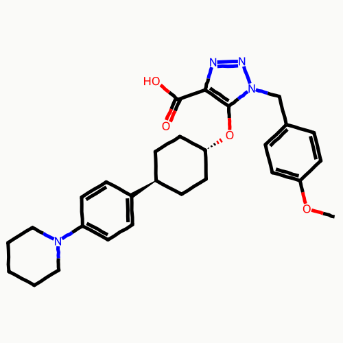 COc1ccc(Cn2nnc(C(=O)O)c2O[C@H]2CC[C@H](c3ccc(N4CCCCC4)cc3)CC2)cc1